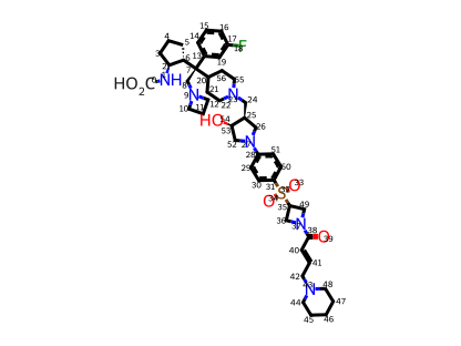 O=C(O)N[C@H]1CCC[C@@H]1[C@](CN1CCC1)(c1cccc(F)c1)C1CCN(C[C@H]2CN(c3ccc(S(=O)(=O)C4CN(C(=O)/C=C/CN5CCCCC5)C4)cc3)C[C@H]2O)CC1